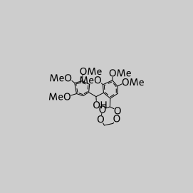 COc1cc(C(O)c2c(C3OOCCOO3)cc(OC)c(OC)c2OC)cc(OC)c1OC